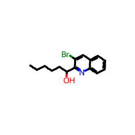 CCCCCC(O)c1nc2ccccc2cc1Br